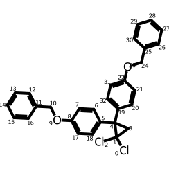 ClC1(Cl)CC1(c1ccc(OCc2ccccc2)cc1)c1ccc(OCc2ccccc2)cc1